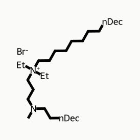 CCCCCCCCCCCCCCCCCC[N+](CC)(CC)CCCN(C)CCCCCCCCCCCC.[Br-]